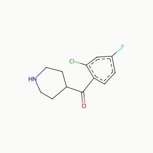 O=C(c1ccc(F)cc1Cl)C1CCNCC1